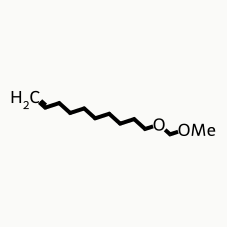 C=CCCCCCCCCOCOC